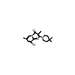 CC(=O)c1cc(C)cn2c(=O)c(C)c(N3CCC(C)(C)CC3)nc12